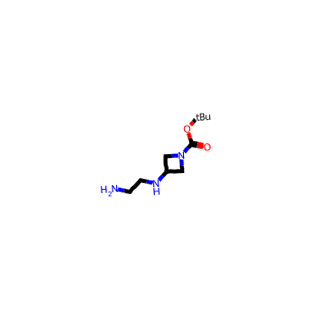 CC(C)(C)OC(=O)N1CC(NCCN)C1